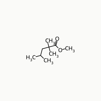 COC(=O)C(C)(C)CC(C)C